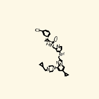 O=C(Nc1cc(NCc2cn3cc(C4CC4)cc(N4CCN(CC5CC5)CC4)c3n2)ccn1)[C@H]1C[C@@H]1c1cccc(Cl)c1